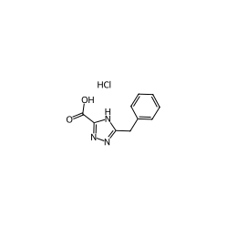 Cl.O=C(O)c1nnc(Cc2ccccc2)[nH]1